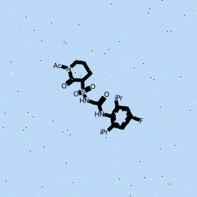 CC(=O)N1CCCC(S(=O)(=O)NC(=O)Nc2c(C(C)C)cc(F)cc2C(C)C)C1=O